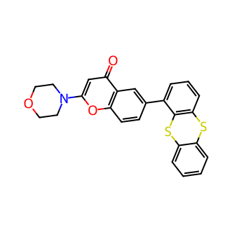 O=c1cc(N2CCOCC2)oc2ccc(-c3cccc4c3Sc3ccccc3S4)cc12